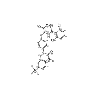 COC(=O)[C@H](Cc1ccc(-c2cc3cc([N+](C)(C)C)ccc3n(C)c2=O)cc1)NC(=O)c1c(Cl)cccc1Cl